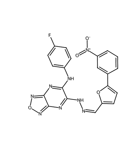 O=[N+]([O-])c1cccc(-c2ccc(/C=N\Nc3nc4nonc4nc3Nc3ccc(F)cc3)o2)c1